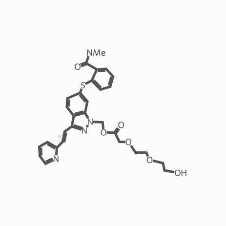 CNC(=O)c1ccccc1Sc1ccc2c(/C=C/c3ccccn3)nn(COC(=O)COCCOCCO)c2c1